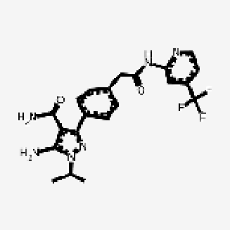 CC(C)n1nc(-c2ccc(CC(=O)Nc3cc(C(F)(F)F)ccn3)cc2)c(C(N)=O)c1N